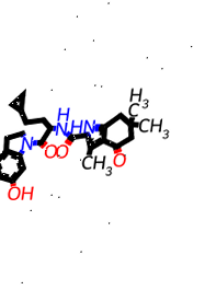 Cc1c(C(=O)NC(CCC2CC2)C(=O)N2CCc3ccc(O)cc32)[nH]c2c1C(=O)CC(C)(C)C2